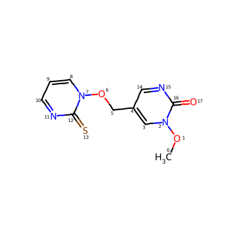 COn1cc(COn2cccnc2=S)cnc1=O